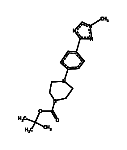 Cn1cnc(-c2ccc(N3CCN(C(=O)OC(C)(C)C)CC3)cc2)n1